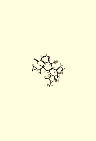 C=Cc1cccc2c1C(C)(NC1CC1)CC(C1=C(C)N(CC)NC1)=C(c1ccn[nH]1)C2N